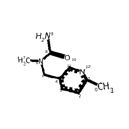 Cc1ccc(CN(C)C(N)=O)cn1